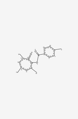 Cc1ccc(C(=O)Oc2c(C)cc(C)cc(C)c2=O)cc1